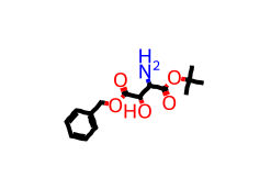 CC(C)(C)OC(=O)C(N)C(O)C(=O)OCc1ccccc1